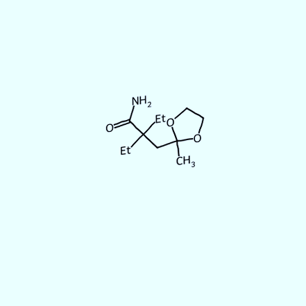 CCC(CC)(CC1(C)OCCO1)C(N)=O